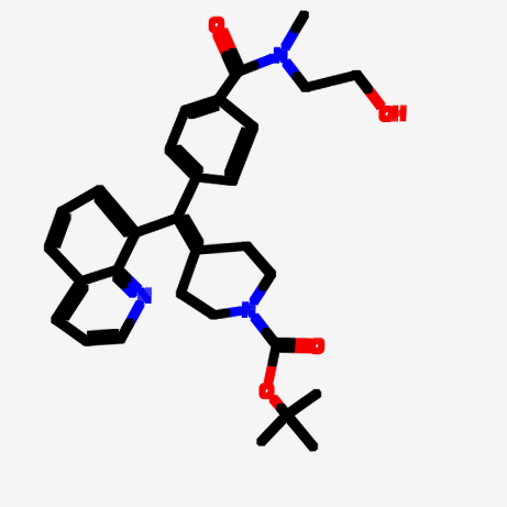 CN(CCO)C(=O)c1ccc(C(=C2CCN(C(=O)OC(C)(C)C)CC2)c2cccc3cccnc23)cc1